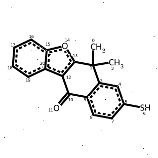 CC1(C)c2cc(S)ccc2C(=O)c2c1oc1ccccc21